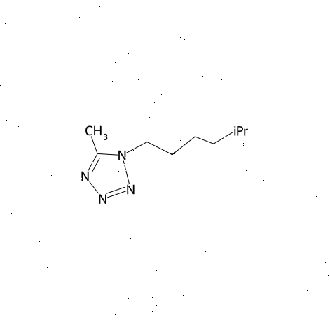 Cc1nnnn1CCCCC(C)C